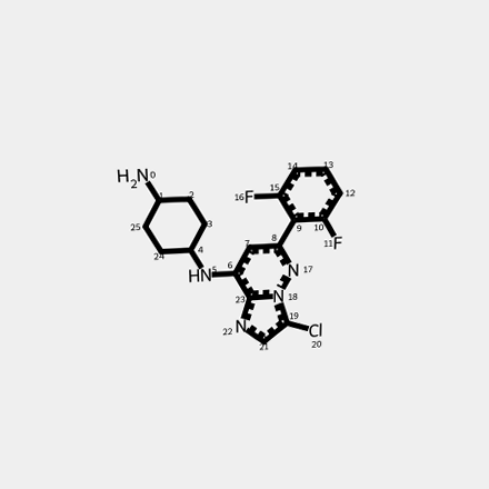 NC1CCC(Nc2cc(-c3c(F)cccc3F)nn3c(Cl)cnc23)CC1